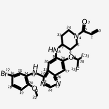 C=CC(=O)N1CCC(Nc2cc3c(Nc4cc(Br)ccc4OC)ncnc3cc2OC(F)F)CC1